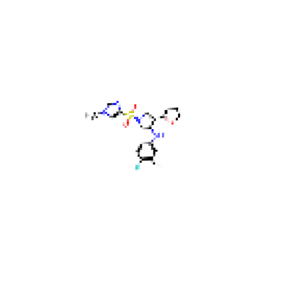 Cc1cc(N[C@H]2CN(S(=O)(=O)c3cn(C)cn3)C[C@@H]2C2CCCO2)ccc1F